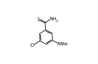 CNc1cc(Cl)cc(C(N)=S)c1